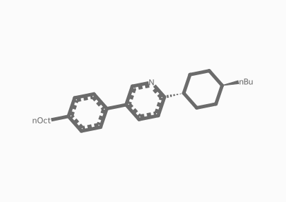 CCCCCCCCc1ccc(-c2ccc([C@H]3CC[C@H](CCCC)CC3)nc2)cc1